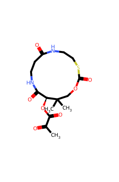 CC(=O)C(=O)O[C@H]1C(=O)NCCC(=O)NCCSC(=O)OCC1(C)C